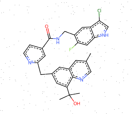 Cc1cnc2c(C(C)(C)O)cc(Cc3cc(C(=O)NCc4cc5c(Cl)c[nH]c5cc4F)ccn3)cc2c1